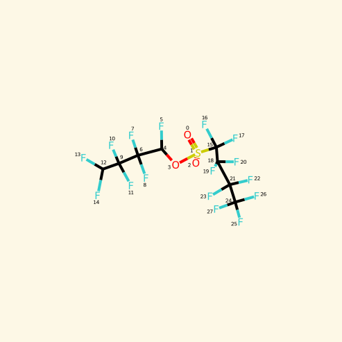 O=S(=O)(OC(F)C(F)(F)C(F)(F)C(F)F)C(F)(F)C(F)(F)C(F)(F)C(F)(F)F